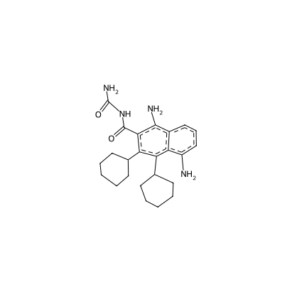 NC(=O)NC(=O)c1c(C2CCCCC2)c(C2CCCCC2)c2c(N)cccc2c1N